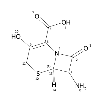 NC1C(=O)N2C(C(=O)O)=C(O)CS[C@H]12